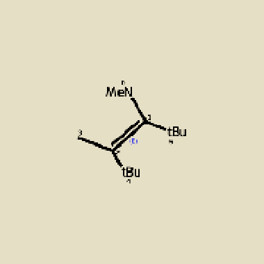 CN/C(=C(\C)C(C)(C)C)C(C)(C)C